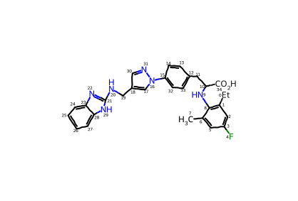 CCc1cc(F)cc(C)c1NC(Cc1ccc(-n2cc(CNc3nc4ccccc4[nH]3)cn2)cc1)C(=O)O